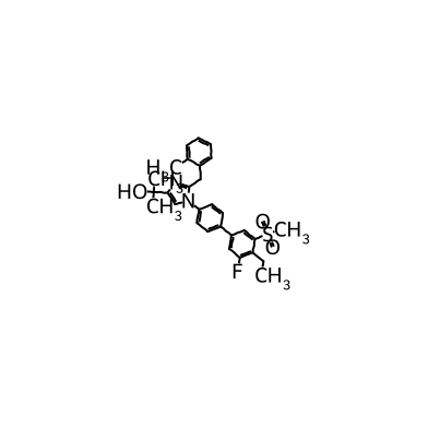 CCc1c(F)cc(-c2ccc(-n3cc(C(C)(C)O)nc3Cc3ccccc3C)cc2)cc1S(C)(=O)=O